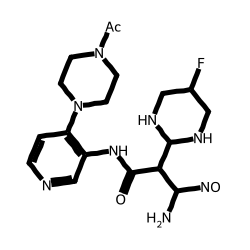 CC(=O)N1CCN(c2ccncc2NC(=O)C(C(N)N=O)C2NCC(F)CN2)CC1